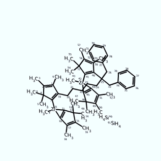 CC1=C(C)C(C)(C)[C]([Zr]2([CH3])[C]3=[C]2C(C)(C)C(C)=C3C)=C1CCCCCC(Cc1ccccc1)(Cc1ccccc1)C1=[C]([Zr]2([CH3])[C]3=[C]2C(C)(C)C(C)=C3C)C(C)(C)C(C)=C1C.[SiH4].[SiH4]